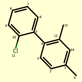 Cc1ccc(-c2ccccc2Cl)c(C)c1